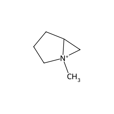 C[N+]12CCCC1C2